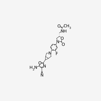 CC(=O)NC[C@H]1CN(c2ccc(N3CC4C(C3)C4c3nc(C#N)c(N)o3)c(F)c2)C(=O)O1